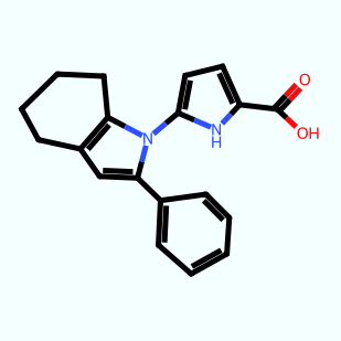 O=C(O)c1ccc(-n2c(-c3ccccc3)cc3c2CCCC3)[nH]1